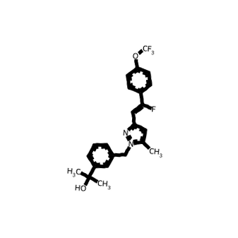 Cc1cc(C=C(F)c2ccc(OC(F)(F)F)cc2)nn1Cc1cccc(C(C)(C)O)c1